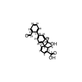 CC1C(C(=O)O)=CC=CC1(C(=O)O)c1ccc(-c2ccccc2C=O)cc1